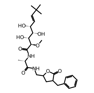 CO[C@@H](C(=O)N[C@@H](C)C(=O)NCC1CC(Cc2ccccc2)C(=O)O1)[C@H](O)[C@@H](O)[C@H](O)/C=C/C(C)(C)C